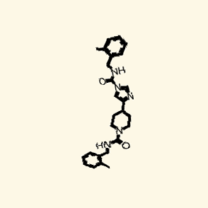 Cc1ccccc1CNC(=O)N1CCC(c2cn(C(=O)NCc3ccccc3C)cn2)CC1